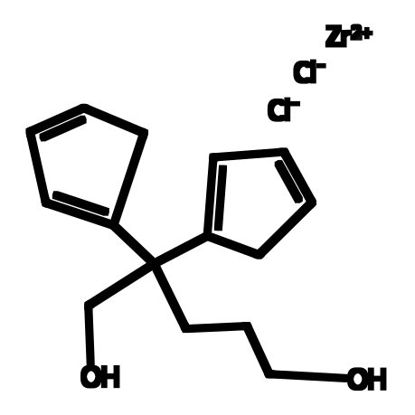 OCCCC(CO)(C1=CC=CC1)C1=CC=CC1.[Cl-].[Cl-].[Zr+2]